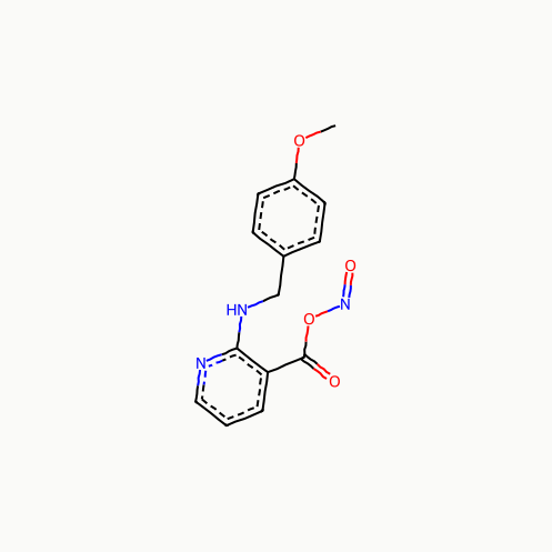 COc1ccc(CNc2ncccc2C(=O)ON=O)cc1